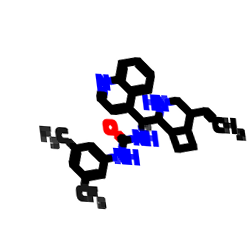 C=CC1CNC([C@H](NC(=O)Nc2cc(C(F)(F)F)cc(C(F)(F)F)c2)c2ccnc3ccccc23)C2CCC12